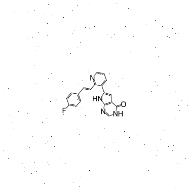 O=c1[nH]cnc2[nH]c(-c3cccnc3/C=C/c3ccc(F)cc3)cc12